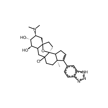 CN(C)[C@H]1C[C@@]23CC[C@]4(O2)C2CC=C(c5ccc6nn[nH]c6c5)[C@@]2(C)CCC4(Cl)CC3[C@@H](O)[C@@H]1O